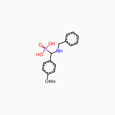 COc1ccc(C(NCc2ccccc2)P(=O)(O)O)cc1